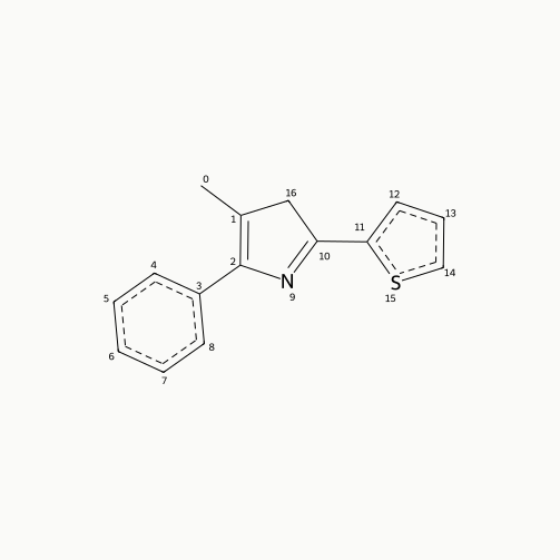 CC1=C(c2ccccc2)N=C(c2cccs2)C1